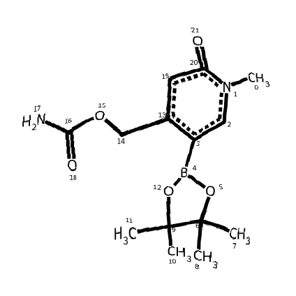 Cn1cc(B2OC(C)(C)C(C)(C)O2)c(COC(N)=O)cc1=O